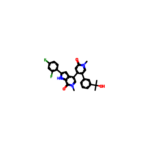 Cn1cc(-c2cccc(C(C)(C)O)c2)c(-c2cn(C)c(=O)c3[nH]c(-c4ccc(F)cc4F)cc23)cc1=O